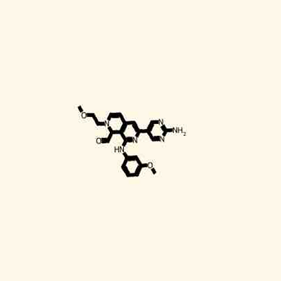 COCCN1C=Cc2cc(-c3cnc(N)nc3)nc(Nc3cccc(OC)c3)c2C1C=O